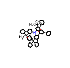 CC1(C)c2ccccc2-c2ccc(N(c3ccc4c(c3)C(C)(C)c3ccccc3-4)c3cc4c(cc3-c3cccc(-c5ccccc5)c3)-c3ccccc3C4(c3ccccc3)c3ccccc3)cc21